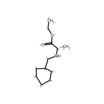 CCOC(=O)[C@H](C)NCC1CCCCC1